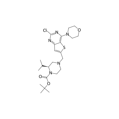 CC(C)[C@H]1CN(Cc2cc3nc(Cl)nc(N4CCOCC4)c3s2)CCN1C(=O)OC(C)(C)C